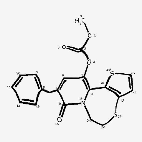 COC(=O)Oc1cc(-c2ccccc2)c(=O)n2c1-c1sccc1SCC2